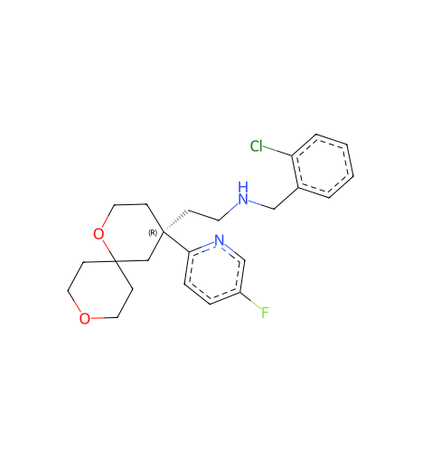 Fc1ccc([C@]2(CCNCc3ccccc3Cl)CCOC3(CCOCC3)C2)nc1